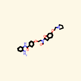 Nc1ccccc1NC(=O)c1ccc(OCCN(C=O)c2cc3ccc(OCCN4CCCC4)cc3o2)cc1